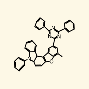 Cc1cc(-c2nc(-c3ccccc3)nc(-c3ccccc3)n2)cc2c3c(oc12)C=CC1C3c2ccccc2N1c1ccccc1